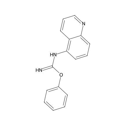 N=C(Nc1cccc2ncccc12)Oc1ccccc1